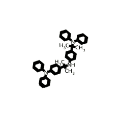 CC(C)(Nc1ccc(C(C)(C)N(c2ccccc2)c2ccccc2)cc1)c1ccc(N(c2cc#ccc2)c2ccccc2)cc1